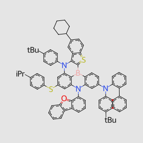 CC(C)c1ccc(Sc2cc3c4c(c2)N(c2cccc5c2oc2ccccc25)c2cc(N(c5ccc(C(C)(C)C)cc5)c5ccccc5-c5ccccc5)ccc2B4c2sc4ccc(C5CCCCC5)cc4c2N3c2ccc(C(C)(C)C)cc2)cc1